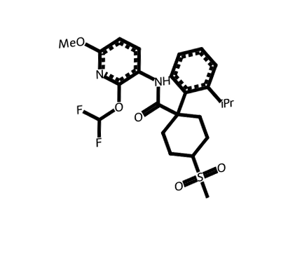 COc1ccc(NC(=O)C2(c3ccccc3C(C)C)CCC(S(C)(=O)=O)CC2)c(OC(F)F)n1